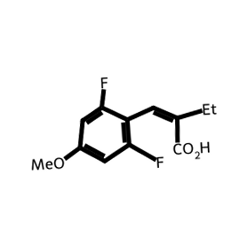 CCC(=Cc1c(F)cc(OC)cc1F)C(=O)O